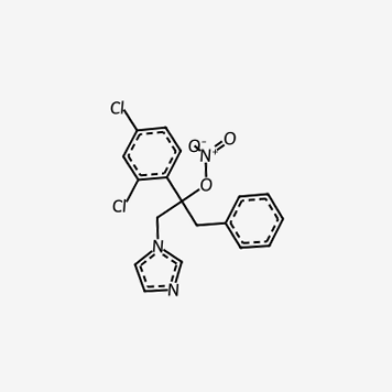 O=[N+]([O-])OC(Cc1ccccc1)(Cn1ccnc1)c1ccc(Cl)cc1Cl